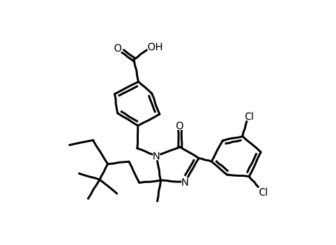 CCC(CCC1(C)N=C(c2cc(Cl)cc(Cl)c2)C(=O)N1Cc1ccc(C(=O)O)cc1)C(C)(C)C